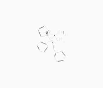 CC(C)(C)[Si](OCc1ccccc1)(c1ccccc1)c1ccccc1